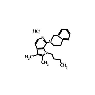 CCCCn1c(C)c(C)c2ccnc(N3CCc4ccccc4C3)c21.Cl